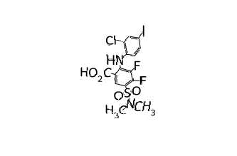 CN(C)S(=O)(=O)c1cc(C(=O)O)c(Nc2ccc(I)cc2Cl)c(F)c1F